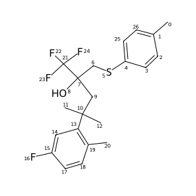 Cc1ccc(SCC(O)(CC(C)(C)c2cc(F)ccc2C)C(F)(F)F)cc1